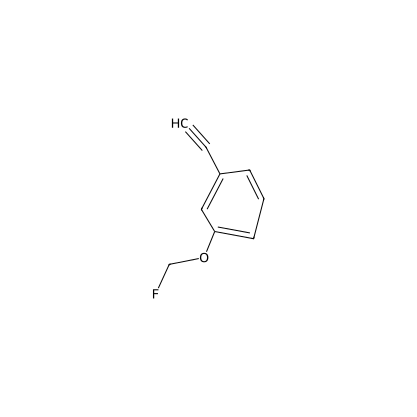 C#Cc1cccc(OCF)c1